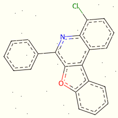 Clc1cccc2c1nc(-c1ccccc1)c1oc3ccccc3c12